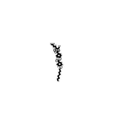 CCCCCCCCOc1ccc(C(=O)Oc2ccc(C(=O)OC(C)C(=O)CCCC)cc2)cc1